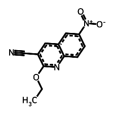 CCOc1nc2ccc([N+](=O)[O-])cc2cc1C#N